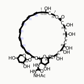 CC(=O)NNC(=O)N[C@H]1[C@@H]2C[C@@H](O[C@@H]3OC[C@@H](O)C[C@@H]3O)/C=C/C=C/C=C/C=C/C=C/C=C/C=C/[C@H](C)[C@@H](O)C[C@H](C)OC(=O)C[C@H](O)C[C@H](O)CC[C@@H](O)[C@H](O)C[C@H](O)C[C@](O)(C[C@@H]1O)O2